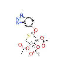 CC(=O)O[C@@H]1[C@@H](OC(C)=O)[C@H](OC(C)=O)CS[C@H]1Oc1ccc2c(c1)nnn2C